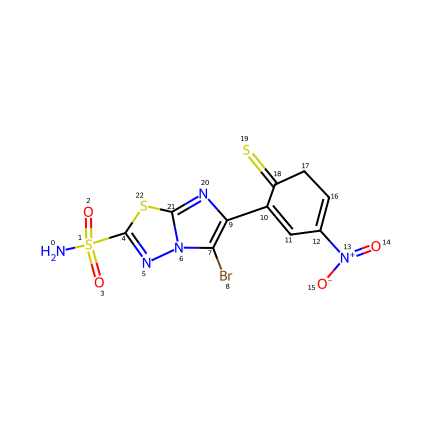 NS(=O)(=O)c1nn2c(Br)c(C3=CC([N+](=O)[O-])=CCC3=S)nc2s1